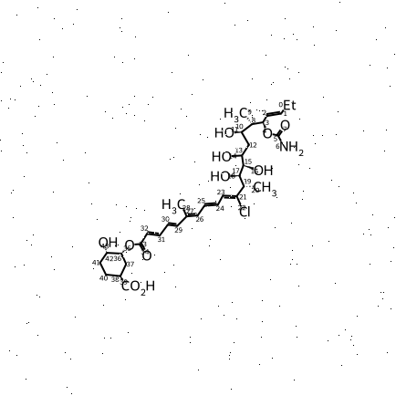 CC/C=C/[C@@H](OC(N)=O)[C@@H](C)[C@H](O)CC(O)[C@@H](O)[C@H](O)[C@H](C)/C(Cl)=C/C=C/C=C(C)/C=C/C=C/C(=O)O[C@@H]1C[C@@H](C(=O)O)CC[C@@H]1O